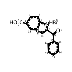 Br.O=C(O)c1ccc2nc(C(=O)c3ccccc3)cn2c1